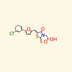 O=C(O)CN1C(=O)/C(=C/c2ccc(C3=CCCC(Cl)=C3)o2)SC1=S